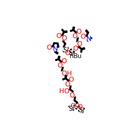 C=C(C)C(=O)OCCC[Si](C)(C)O[Si](C)(C)CCCC.C=C(C)C(=O)OCCO.C=C(C)C(=O)OCCOC(=O)C(=C)C.C=C(C)C(=O)OC[C@H](O)COCCC[Si](C)(O[Si](C)(C)C)O[Si](C)(C)C.C=CC(=O)N(C)C.C=CN1CCCC1=O